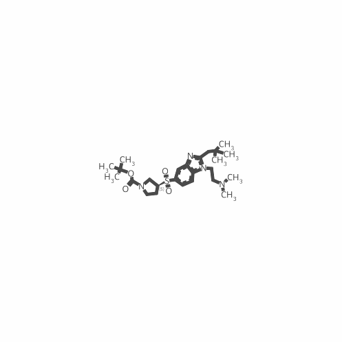 CN(C)CCn1c(CC(C)(C)C)nc2cc(S(=O)(=O)[C@H]3CCN(C(=O)OC(C)(C)C)C3)ccc21